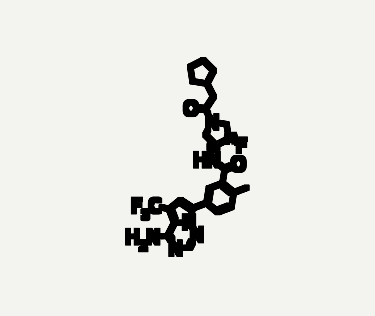 Cc1ccc(-c2cc(C(F)(F)F)c3c(N)ncnn23)cc1C(=O)N[C@@H]1CN(C(=O)CC2CCCC2)C[C@@H]1F